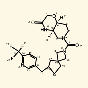 O=C1CO[C@H]2CCN(C(=O)N3CC4(CCC(Cc5ccc(C(F)(F)F)nc5)C4)C3)C[C@H]2N1